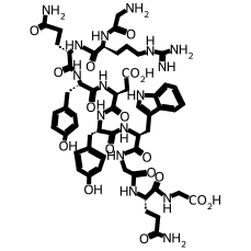 N=C(N)NCCC[C@H](NC(=O)CN)C(=O)N[C@@H](CCC(N)=O)C(=O)N[C@@H](Cc1ccc(O)cc1)C(=O)N[C@@H](CC(=O)O)C(=O)N[C@@H](Cc1ccc(O)cc1)C(=O)N[C@@H](Cc1c[nH]c2ccccc12)C(=O)NCC(=O)N[C@@H](CCC(N)=O)C(=O)NCC(=O)O